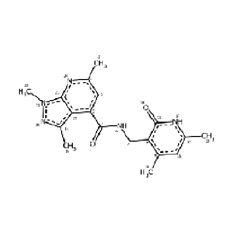 Cc1cc(C(=O)NCc2c(C)cc(C)[nH]c2=O)c2c(C)nn(C)c2n1